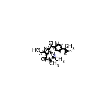 CN/C(C)=N\n1c(C(C)c2ccc(C3(C)CC3)cc2)nc(CO)c1C=O